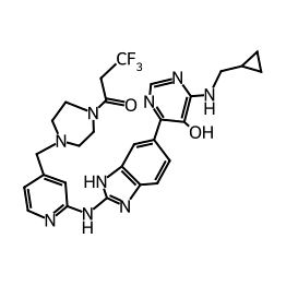 O=C(CC(F)(F)F)N1CCN(Cc2ccnc(Nc3nc4ccc(-c5ncnc(NCC6CC6)c5O)cc4[nH]3)c2)CC1